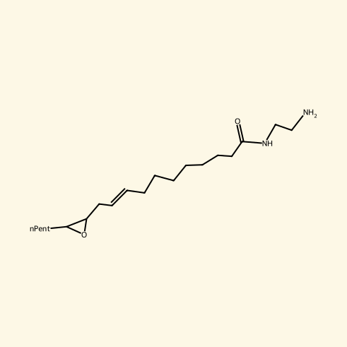 CCCCCC1OC1CC=CCCCCCCCC(=O)NCCN